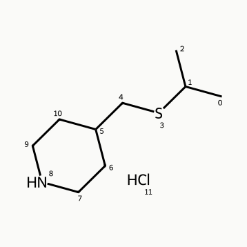 CC(C)SCC1CCNCC1.Cl